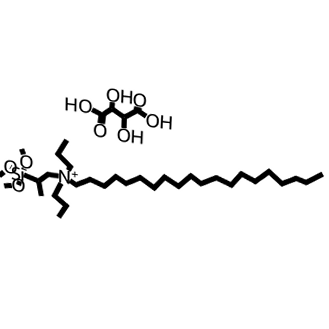 CCCCCCCCCCCCCCCCCCCC[N+](CCC)(CCC)CC(C)[Si](OC)(OC)OC.O=C(O)C(O)C(O)C(=O)O